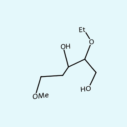 CCOC(CO)C(O)CCOC